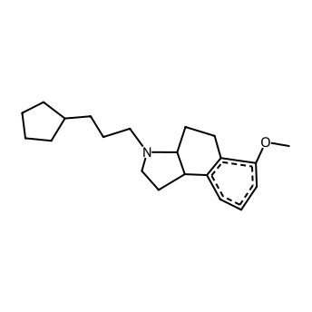 COc1cccc2c1CCC1C2CCN1CCCC1CCCC1